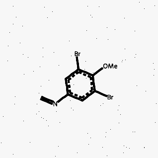 C=Nc1cc(Br)c(OC)c(Br)c1